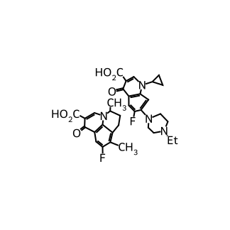 CCN1CCN(c2cc3c(cc2F)c(=O)c(C(=O)O)cn3C2CC2)CC1.Cc1c(F)cc2c(=O)c(C(=O)O)cn3c2c1CCC3C